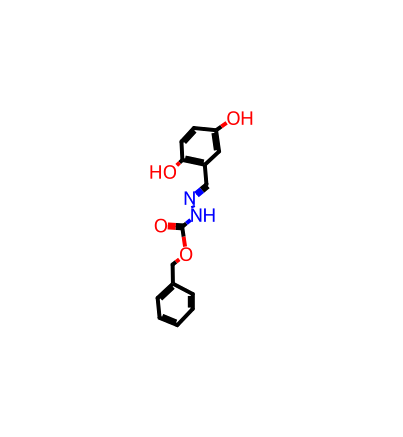 O=C(NN=Cc1cc(O)ccc1O)OCc1ccccc1